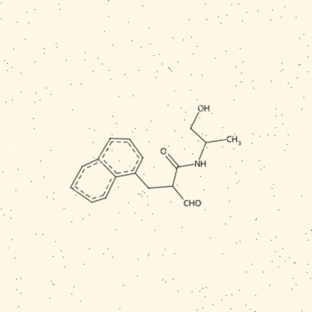 CC(CO)NC(=O)C([C]=O)Cc1cccc2ccccc12